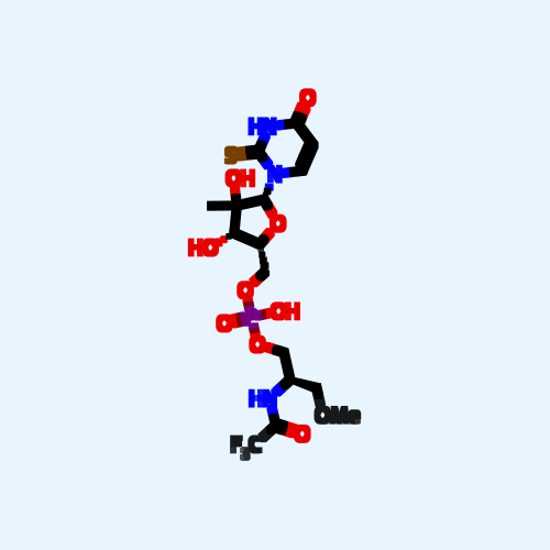 COC[C@H](COP(=O)(O)OC[C@H]1O[C@@H](n2ccc(=O)[nH]c2=S)C(C)(O)[C@H]1O)NC(=O)C(F)(F)F